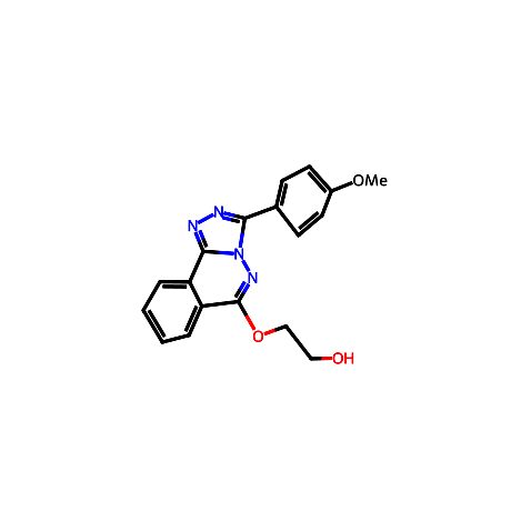 COc1ccc(-c2nnc3c4ccccc4c(OCCO)nn23)cc1